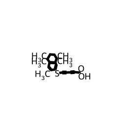 Cc1cc2c(cc1SC#CC#CC(=O)O)C(C)(C)CCC2(C)C